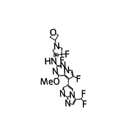 COc1nc(N[C@@H]2CN(C3COC3)CC2(F)F)nn2cc(F)c(-c3cnc4ncc(C(F)F)n4c3)c12